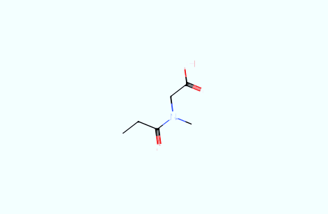 [CH2]CC(=O)N(C)CC(=O)O